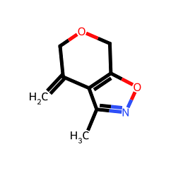 C=C1COCc2onc(C)c21